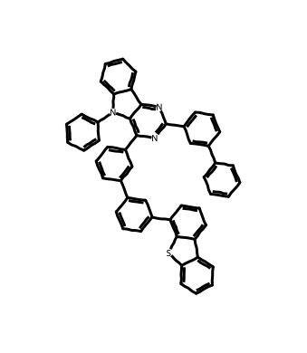 c1ccc(-c2cccc(-c3nc(-c4cccc(-c5cccc(-c6cccc7c6sc6ccccc67)c5)c4)c4c(n3)c3ccccc3n4-c3ccccc3)c2)cc1